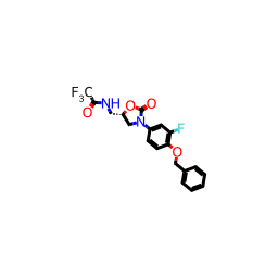 O=C1O[C@@H](CNC(=O)C(F)(F)F)CN1c1ccc(OCc2ccccc2)c(F)c1